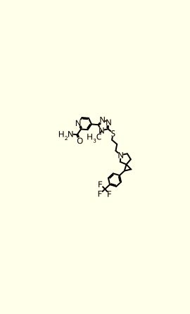 Cn1c(SCCCN2CCC3(CC3c3ccc(C(F)(F)F)cc3)C2)nnc1-c1ccnc(C(N)=O)c1